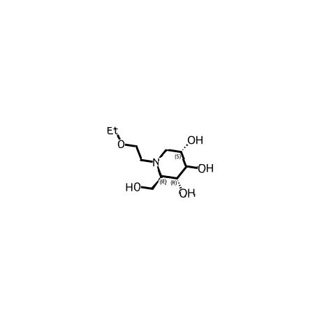 CCOCCN1C[C@H](O)C(O)[C@H](O)[C@H]1CO